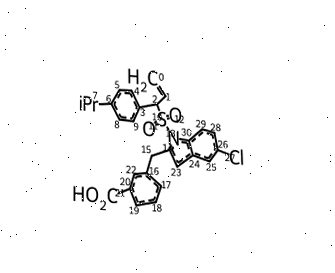 C=CC(c1ccc(C(C)C)cc1)S(=O)(=O)n1c(Cc2cccc(C(=O)O)c2)cc2cc(Cl)ccc21